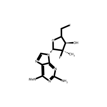 CNc1nc(N)nc2c1ncn2[C@@H]1OC(CI)[C@@H](O)[C@@]1(C)F